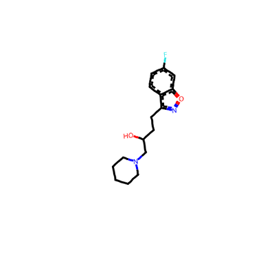 OC(CCc1noc2cc(F)ccc12)CN1CCCCC1